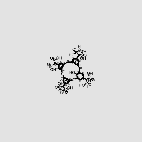 O=[PH](O)C(c1cc2c(O)c(c1)Cc1cc(C(P(=O)(O)O)P(=O)(O)O)cc(c1O)Cc1cc(C([PH](=O)O)[PH](=O)O)cc(c1O)Cc1cc(C(P(=O)(O)O)P(=O)(O)O)cc(c1O)C2)[PH](=O)O